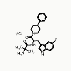 CC(C)(N)C(=O)NC(Cc1c[nH]c2ccc(F)cc12)C(=O)N1CCC(c2ccccc2)CC1.Cl